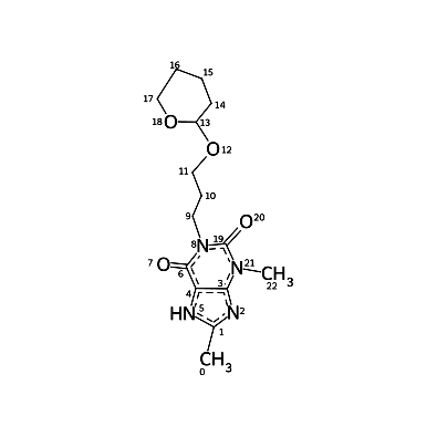 Cc1nc2c([nH]1)c(=O)n(CCCOC1CCCCO1)c(=O)n2C